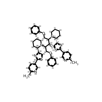 Cc1ccc(-c2nc([C@H]3CCCCN3C(COc3ccccc3)C(=O)C(COc3ccccc3)N3CCCC[C@@H]3c3csc(-c4ccc(C)nc4)n3)cs2)cn1